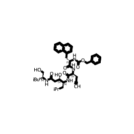 C#CC[C@H](NC(=O)[C@H](Cc1cccc2ccccc12)NC(=O)OCc1ccccc1)C(=O)N[C@@H](CC(C)C)[C@@H](O)CC(=O)N[C@H](CO)[C@@H](C)CC